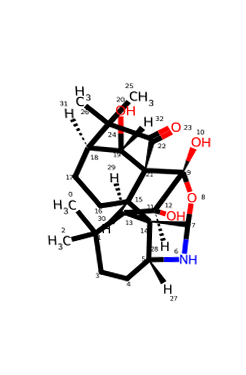 CC1(C)CC[C@H]2NC3O[C@]4(O)[C@@H](O)[C@H]1[C@@]32[C@@H]1CC[C@@H]2[C@H](O)[C@@]14C(=O)C2(C)C